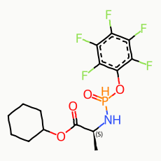 C[C@H](N[PH](=O)Oc1c(F)c(F)c(F)c(F)c1F)C(=O)OC1CCCCC1